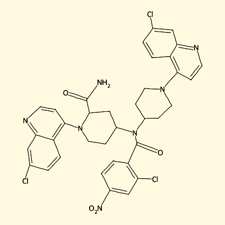 NC(=O)C1CC(N(C(=O)c2ccc([N+](=O)[O-])cc2Cl)C2CCN(c3ccnc4cc(Cl)ccc34)CC2)CCN1c1ccnc2cc(Cl)ccc12